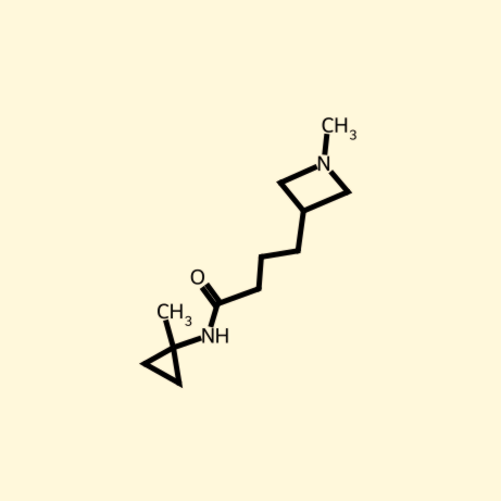 CN1CC(CCCC(=O)NC2(C)CC2)C1